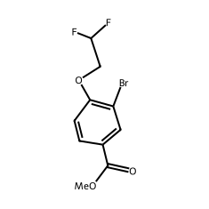 COC(=O)c1ccc(OCC(F)F)c(Br)c1